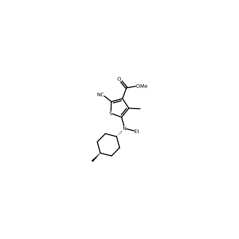 CCN(c1sc(C#N)c(C(=O)OC)c1C)[C@H]1CC[C@H](C)CC1